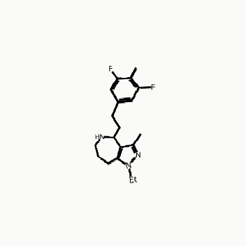 CCn1nc(C)c2c1CCCNC2CCc1cc(F)c(C)c(F)c1